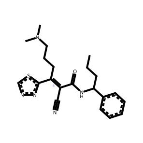 CCCC(NC(=O)/C(C#N)=C(\CCCN(C)C)c1nncs1)c1ccccc1